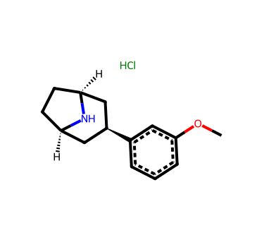 COc1cccc([C@H]2C[C@H]3CC[C@@H](C2)N3)c1.Cl